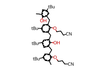 Cc1cc(C(C)(C)C)cc(Cc2cc(C(C)(C)C)cc(Cc3cc(C(C)(C)C)cc(Cc4cc(C(C)(C)C)cc(C)c4OCCCC#N)c3O)c2OCCCC#N)c1O